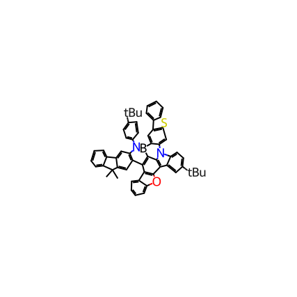 CC(C)(C)c1ccc(N2B3c4cc5c(cc4-n4c6ccc(C(C)(C)C)cc6c6c7oc8ccccc8c7c(c3c64)-c3cc4c(cc32)-c2ccccc2C4(C)C)sc2ccccc25)cc1